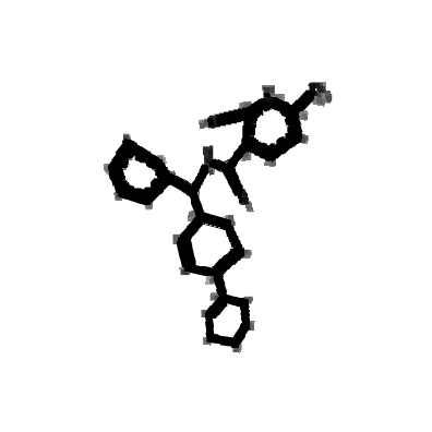 O=C(NC(c1ccccc1)C1C=CC(C2=CCCCC2)=CC1)c1ccc(C(F)(F)F)[nH]c1=O